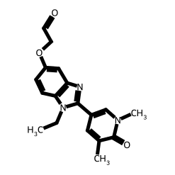 CCn1c(-c2cc(C)c(=O)n(C)c2)nc2cc(OCC=O)ccc21